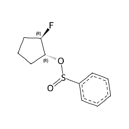 O=S(O[C@@H]1CCC[C@H]1F)c1ccccc1